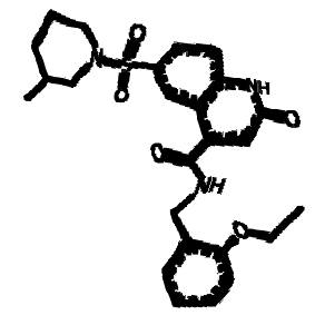 CCOc1ccccc1CNC(=O)c1cc(=O)[nH]c2ccc(S(=O)(=O)N3CCCC(C)C3)cc12